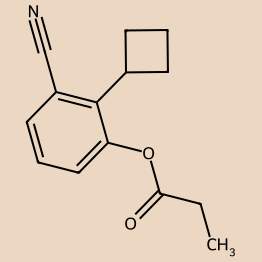 CCC(=O)Oc1cccc(C#N)c1C1CCC1